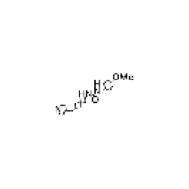 COc1ccc(CNC(=O)NC2CC3(CC(Cc4ccncc4)C3)C2)cc1